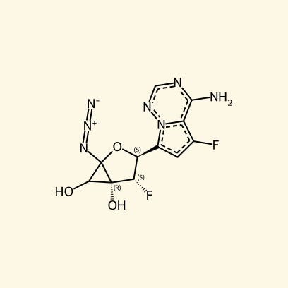 [N-]=[N+]=NC12O[C@@H](c3cc(F)c4c(N)ncnn34)[C@H](F)[C@@]1(O)C2O